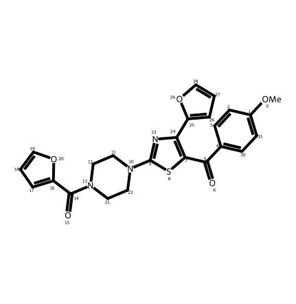 COc1ccc(C(=O)c2sc(N3CCN(C(=O)c4ccco4)CC3)nc2-c2ccco2)cc1